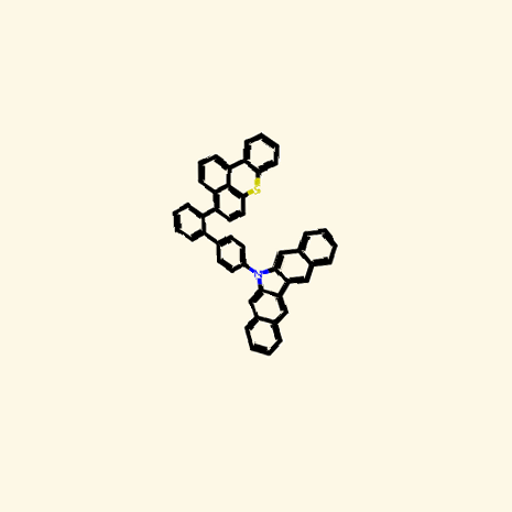 c1ccc2c(c1)Sc1ccc(-c3ccccc3-c3ccc(-n4c5cc6ccccc6cc5c5cc6ccccc6cc54)cc3)c3cccc-2c13